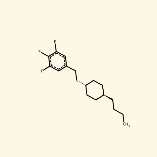 CCCC[C@H]1CC[C@H](CCc2cc(F)c(F)c(F)c2)CC1